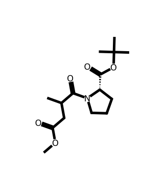 COC(=O)CC(C)C(=O)N1CCC[C@H]1C(=O)OC(C)(C)C